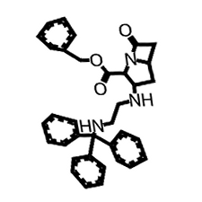 O=C(OCc1ccccc1)C1C(NCCNC(c2ccccc2)(c2ccccc2)c2ccccc2)CC2CC(=O)N21